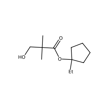 CCC1(OC(=O)C(C)(C)CO)CCCC1